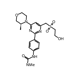 CNC(=O)Nc1ccc(-c2nc(CS(=O)(=O)CCO)cc(N3CCOC[C@@H]3C)n2)cc1